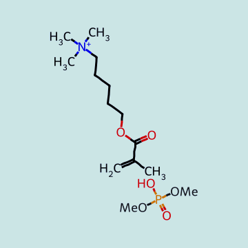 C=C(C)C(=O)OCCCCC[N+](C)(C)C.COP(=O)(O)OC